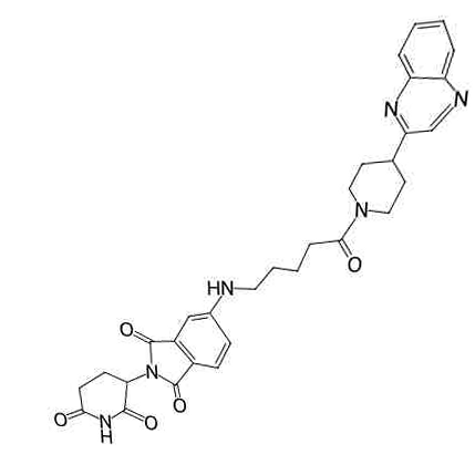 O=C1CCC(N2C(=O)c3ccc(NCCCCC(=O)N4CCC(c5cnc6ccccc6n5)CC4)cc3C2=O)C(=O)N1